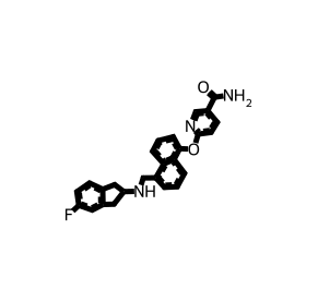 NC(=O)c1ccc(Oc2cccc3c(CNC4Cc5ccc(F)cc5C4)cccc23)nc1